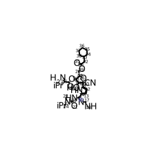 CC(C)[C@H](N)C(=O)O[C@H]1[C@@H](O)[C@](C#N)(c2ccc(/C(=N\C=N)NC(=O)N(C)C(C)C)[nH]2)O[C@@H]1COC(=O)CC1CCCCC1